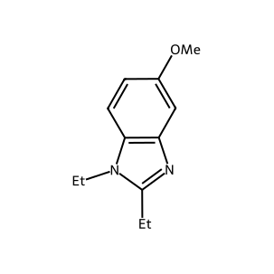 CCc1nc2cc(OC)ccc2n1CC